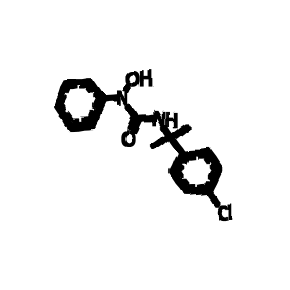 CC(C)(NC(=O)N(O)c1ccccc1)c1ccc(Cl)cc1